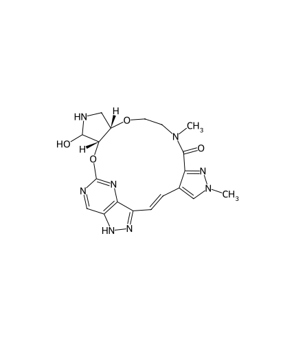 CN1CCO[C@H]2CNC(O)[C@H]2Oc2ncc3[nH]nc(c3n2)/C=C/c2cn(C)nc2C1=O